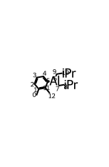 Cc1ccc[c]([Al]([CH2]C(C)C)[CH2]C(C)C)c1C